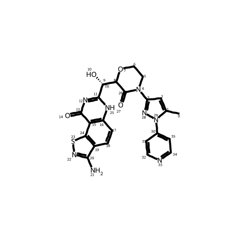 Cc1cc(N2CCOC([C@@H](O)c3nc(=O)c4c(ccc5c(N)nsc54)[nH]3)C2=O)nn1-c1ccncc1